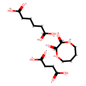 O=C(O)CCC(=O)O.O=C(O)CCCCC(=O)O.O=C1OCCCCOC1=O